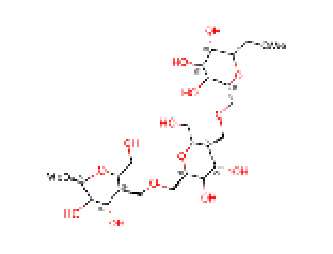 COCC1O[C@H](COC[C@@H]2C(CO)O[C@H](COC[C@@H]3C(CO)O[C@H](OC)C(O)[C@H]3O)C(O)[C@H]2O)C(O)[C@@H](O)[C@@H]1O